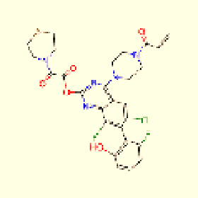 C=CC(=O)N1CCN(c2nc(OC(=O)C(=O)N3CCSCC3)nc3c(F)c(-c4c(O)cccc4F)c(Cl)cc23)CC1